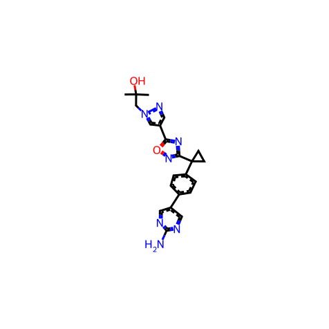 CC(C)(O)Cn1cc(-c2nc(C3(c4ccc(-c5cnc(N)nc5)cc4)CC3)no2)cn1